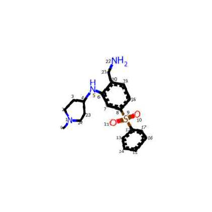 CN1CCC(Nc2cc(S(=O)(=O)c3ccccc3)ccc2CN)CC1